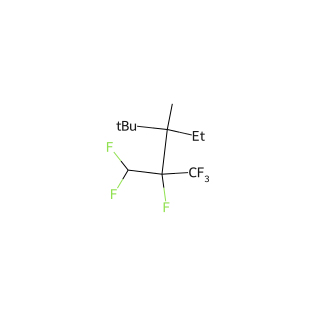 CCC(C)(C(C)(C)C)C(F)(C(F)F)C(F)(F)F